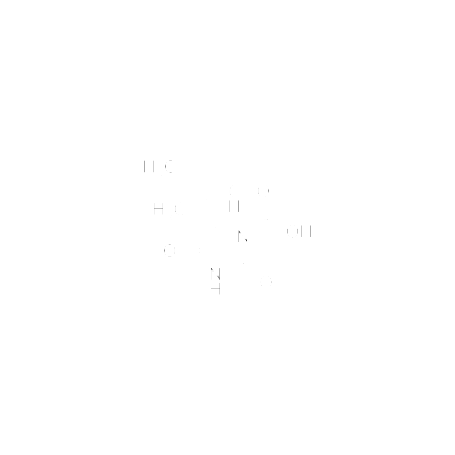 CCC(C)(C)C1C(=O)NC(=O)N1C(=O)O